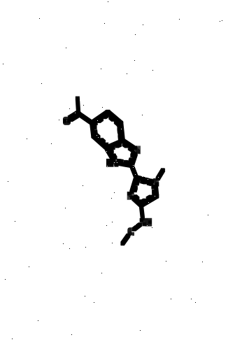 CCNc1cn(C)c(-c2nc3ccc(C(C)=O)cc3[nH]2)n1